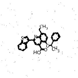 CCc1ccc(O[C@H](C)c2ccccc2)c2c(C(=O)O)cc(-c3csc4ccccc34)nc12